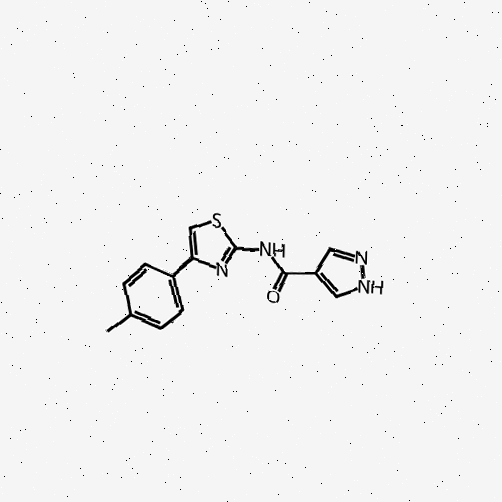 Cc1ccc(-c2csc(NC(=O)c3cn[nH]c3)n2)cc1